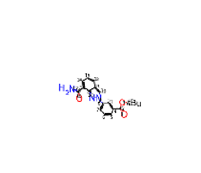 CC(C)(C)OC(=O)c1cccc(-n2cc3cccc(C(N)=O)c3n2)c1